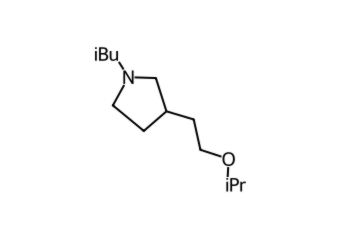 CCC(C)N1CCC(CCOC(C)C)C1